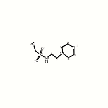 O=S(=O)(CCl)NCCN1CCOCC1